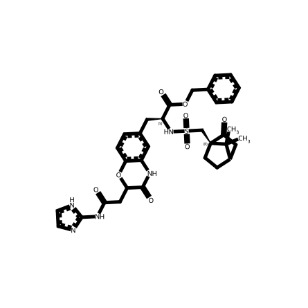 CC1(C)C2CC[C@]1(CS(=O)(=O)N[C@@H](Cc1ccc3c(c1)NC(=O)C(CC(=O)Nc1ncc[nH]1)O3)C(=O)OCc1ccccc1)C(=O)C2